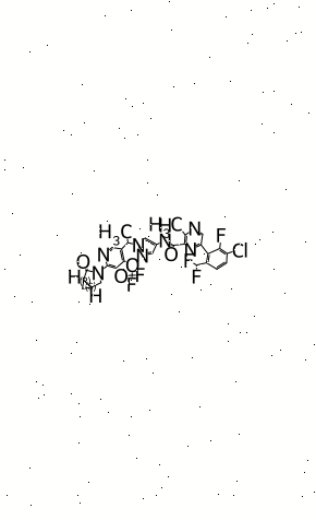 Cc1ncc(-c2c(C(F)F)ccc(Cl)c2F)nc1C(=O)Nc1cnn(C(C)c2cnc(N3C[C@H]4C[C@H]4C3=O)c3c2OC(F)(F)O3)c1